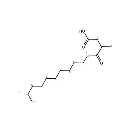 C=C(CC(=O)O)C(=O)OCCCCCCCCC(C)C